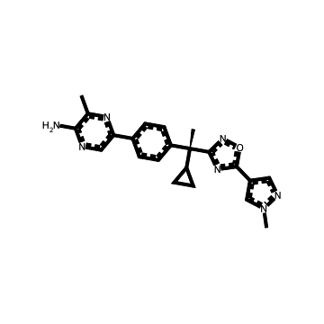 Cc1nc(-c2ccc([C@](C)(c3noc(-c4cnn(C)c4)n3)C3CC3)cc2)cnc1N